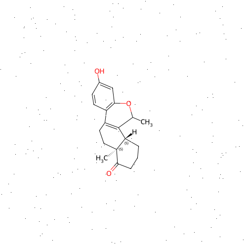 CC1Oc2cc(O)ccc2C2=C1[C@@H]1CCCC(=O)[C@@]1(C)CC2